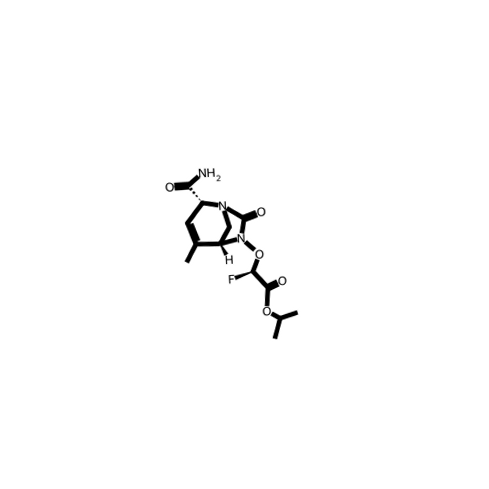 CC1=C[C@H](C(N)=O)N2C[C@@H]1N(O[C@H](F)C(=O)OC(C)C)C2=O